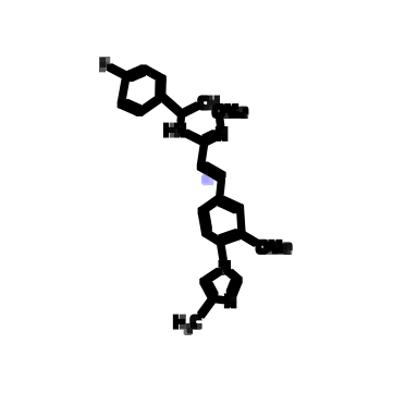 CON=C(/C=C/c1ccc(-n2cnc(C)c2)c(OC)c1)NC(C)c1ccc(F)cc1